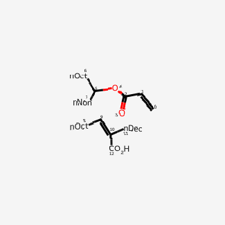 C=CC(=O)OC(CCCCCCCC)CCCCCCCCC.CCCCCCCCC=C(CCCCCCCCCC)C(=O)O